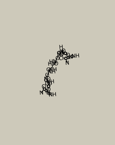 N#Cc1cc(Cl)cc2c1C[C@H](N1CCNCC1)[C@H]2Oc1ccc(S(=O)(=O)N[C@H]2CCCN(CCOCCNC(=O)NCCCCNC(=O)NCCOCCN3CCC[C@H](NS(=O)(=O)c4ccc(O[C@H]5c6cc(Cl)cc(C#N)c6C[C@@H]5N5CCNCC5)cc4)C3=O)C2=O)cc1